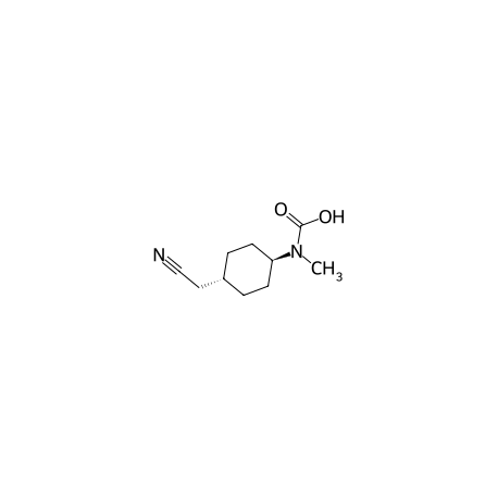 CN(C(=O)O)[C@H]1CC[C@H](CC#N)CC1